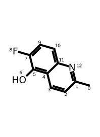 Cc1ccc2c(O)c(F)ccc2n1